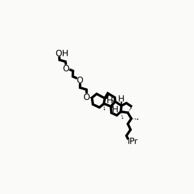 CC(C)CCC[C@@H](C)[C@H]1CC[C@H]2[C@@H]3CC=C4C[C@@H](OCCOCCOCCO)CC[C@]4(C)[C@H]3CC[C@]12C